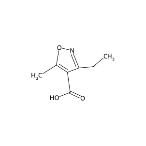 CCc1noc(C)c1C(=O)O